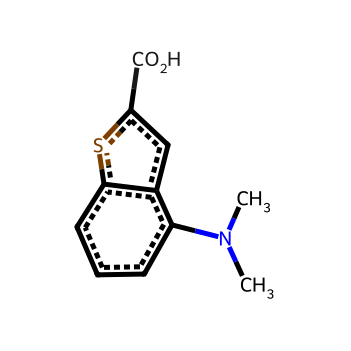 CN(C)c1cccc2sc(C(=O)O)cc12